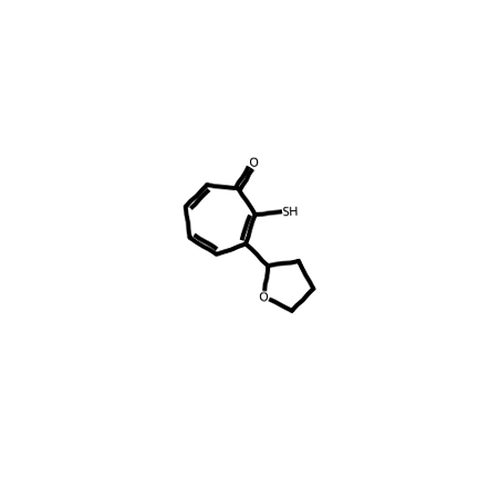 O=c1ccccc(C2CCCO2)c1S